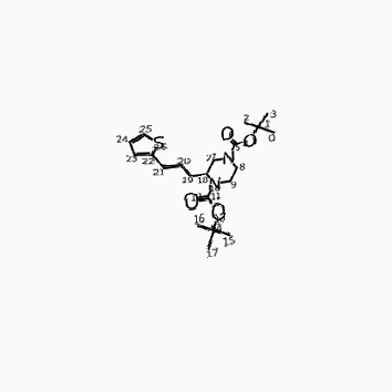 CC(C)(C)OC(=O)N1CCN(C(=O)OC(C)(C)C)C(CC=Cc2cccs2)C1